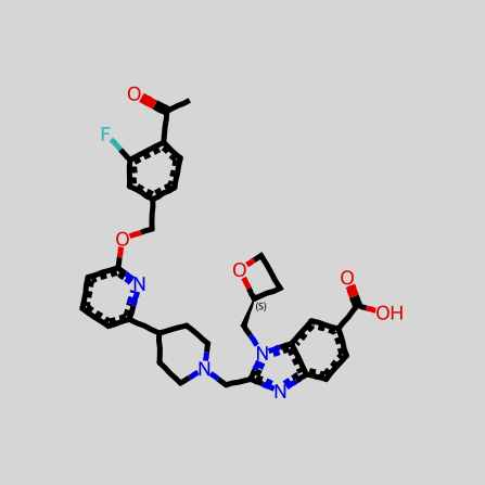 CC(=O)c1ccc(COc2cccc(C3CCN(Cc4nc5ccc(C(=O)O)cc5n4C[C@@H]4CCO4)CC3)n2)cc1F